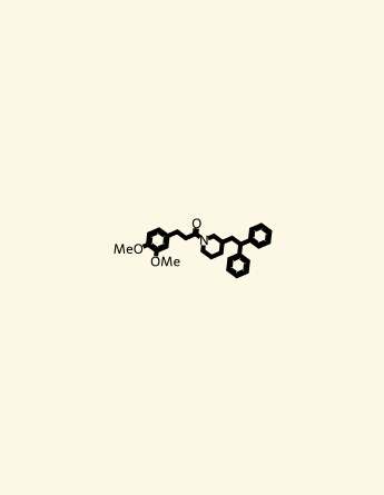 COc1ccc(CCC(=O)N2CCCC(CC(c3ccccc3)c3ccccc3)C2)cc1OC